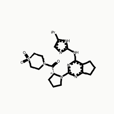 CC(C)c1cnc(Nc2nc(N3CCC[C@@H]3C(=O)N3CCS(=O)(=O)CC3)nc3c2CCC3)[nH]1